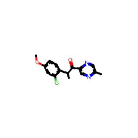 COc1ccc(C(C)C(=O)c2cnc(C)cn2)c(Cl)c1